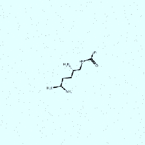 CC(N)CC[C@H](N)CNC(=O)C(C)C